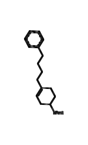 CCCCCC1CC=C(CCCCc2ccccc2)CC1